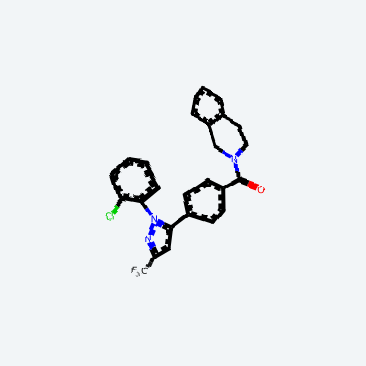 O=C(c1ccc(-c2cc(C(F)(F)F)nn2-c2ccccc2Cl)cc1)N1CCc2ccccc2C1